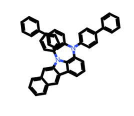 c1ccc(-c2ccc(N(c3ccc(-c4ccccc4)cc3)c3cccc4c5cc6ccccc6cc5n(-c5ccccc5)c34)cc2)cc1